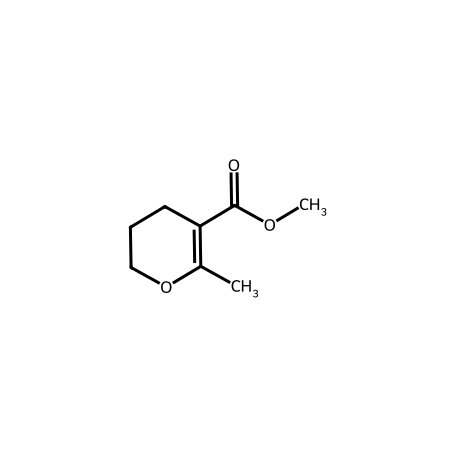 COC(=O)C1=C(C)OCCC1